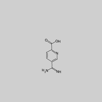 N=C(N)c1ccc(C(=O)O)nc1